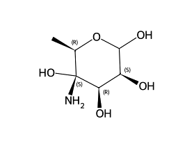 C[C@H]1OC(O)[C@@H](O)[C@@H](O)[C@]1(N)O